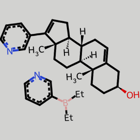 CCB(CC)c1cccnc1.C[C@]12CC[C@H](O)CC1=CC[C@@H]1[C@@H]2CC[C@]2(C)C(c3cccnc3)=CC[C@@H]12